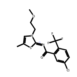 COCCn1cc(C)s/c1=N\C(=O)c1cc(Cl)ccc1C(F)(F)F